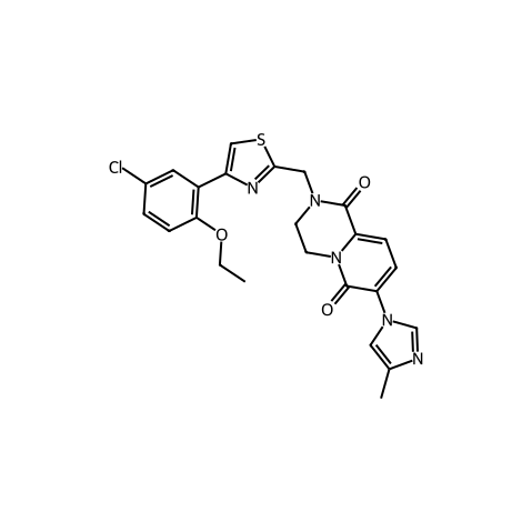 CCOc1ccc(Cl)cc1-c1csc(CN2CCn3c(ccc(-n4cnc(C)c4)c3=O)C2=O)n1